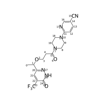 CC(OCCC(=O)N1CCN(c2ccc(C#N)cn2)CC1)c1cc(C(F)(F)F)c(=O)[nH]n1